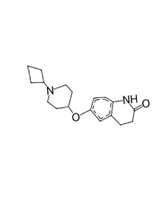 O=C1CCc2cc(OC3CCN(C4CCC4)CC3)ccc2N1